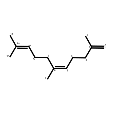 [CH]=C(C)CCC=C(C)CCC=C(C)C